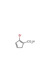 O=C(O)C1=C(Br)C=CC1